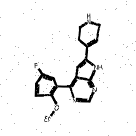 CCOc1ccc(F)cc1-c1ncnc2[nH]c(C3=CCNCC3)cc12